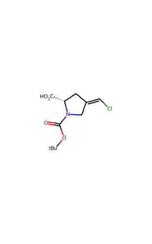 CC(C)(C)OC(=O)N1C/C(=C\Cl)C[C@H]1C(=O)O